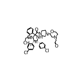 CCOc1ccccc1C1(C(=O)N2CCN(C3CN(CC=O)CCO3)CC2)N[C@H](c2ccc(Cl)cc2)[C@H](c2ccc(Cl)cc2)N1